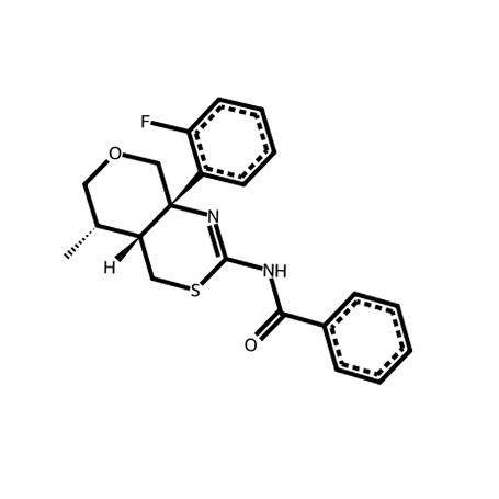 C[C@@H]1COC[C@]2(c3ccccc3F)N=C(NC(=O)c3ccccc3)SC[C@H]12